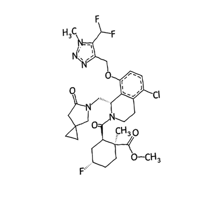 COC(=O)[C@@]1(C)CC[C@H](F)C[C@H]1C(=O)N1CCc2c(Cl)ccc(OCc3nnn(C)c3C(F)F)c2[C@H]1CN1CC2(CC2)CC1=O